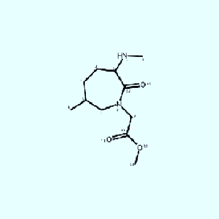 CNC1CCC(C)CN(CC(=O)OC)C1=O